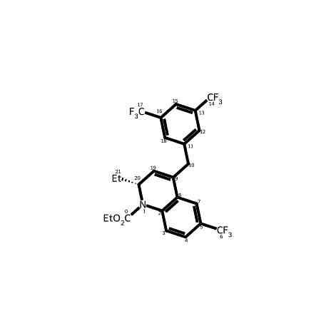 CCOC(=O)N1c2ccc(C(F)(F)F)cc2C(Cc2cc(C(F)(F)F)cc(C(F)(F)F)c2)=C[C@H]1CC